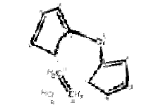 C1=CC[C]([Zr][C]2=CC=CC2)=C1.C=C.Cl